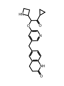 O=C1CCc2cc(Cc3cncc(OC(C(=O)C4CC4)C4CCN4)c3)ccc2N1